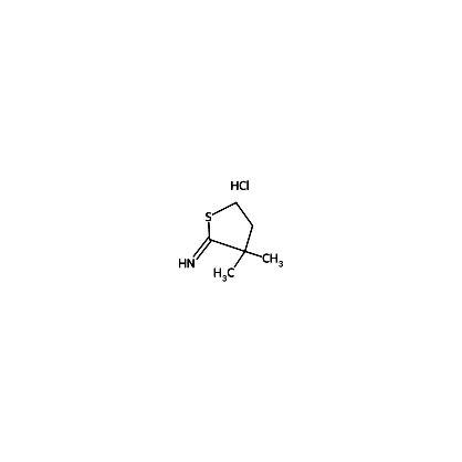 CC1(C)CCSC1=N.Cl